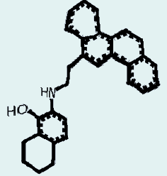 Oc1c(NCCc2cc3c4ccccc4ccc3c3ccccc23)ccc2c1CCCC2